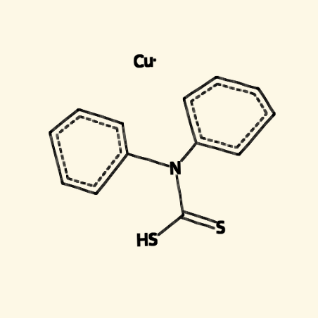 S=C(S)N(c1ccccc1)c1ccccc1.[Cu]